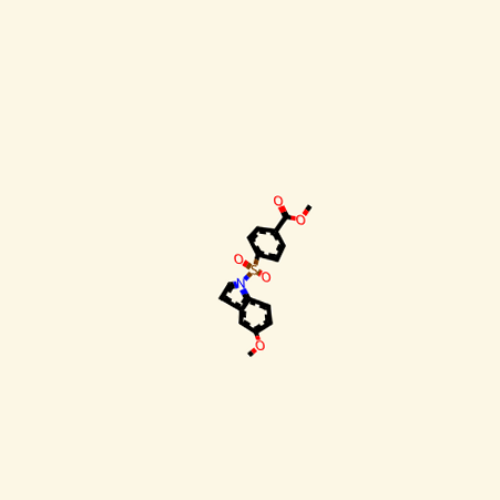 COC(=O)c1ccc(S(=O)(=O)n2ccc3cc(OC)ccc32)cc1